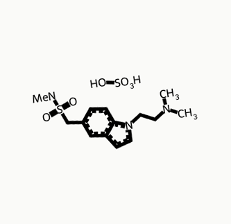 CNS(=O)(=O)Cc1ccc2c(ccn2CCN(C)C)c1.O=S(=O)(O)O